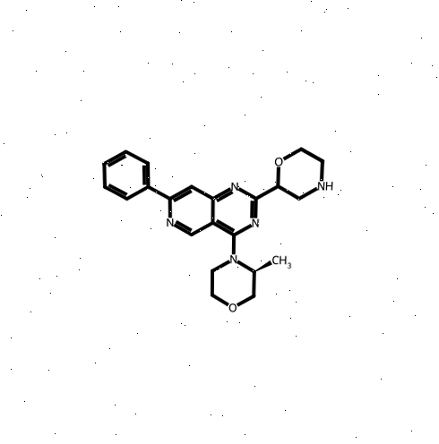 C[C@H]1COCCN1c1nc(C2CNCCO2)nc2cc(-c3ccccc3)ncc12